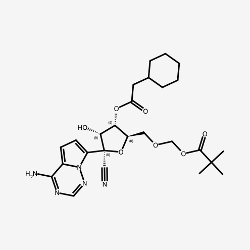 CC(C)(C)C(=O)OCOC[C@H]1O[C@@](C#N)(c2ccc3c(N)ncnn23)[C@H](O)[C@@H]1OC(=O)CC1CCCCC1